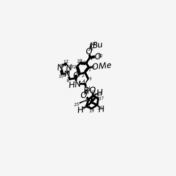 COc1c(C[C@H](NC(=O)Cn2cncn2)B2O[C@@H]3C[C@@H]4C[C@@H](C4(C)C)[C@]3(C)O2)cccc1C(=O)OC(C)(C)C